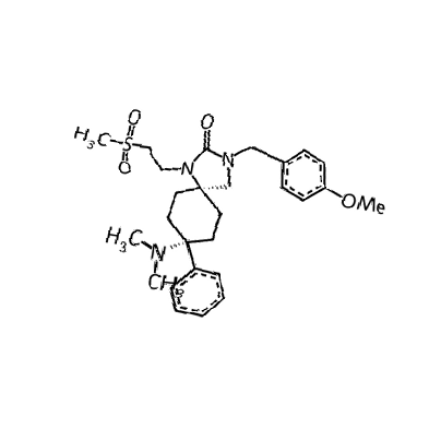 COc1ccc(CN2C[C@]3(CC[C@@](c4ccccc4)(N(C)C)CC3)N(CCS(C)(=O)=O)C2=O)cc1